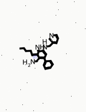 CCCC/C=C1\C(=N)C(NCc2cccnc2)=CC(c2ccccc2)=C1CN